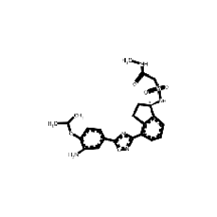 CNC(=O)CS(=O)(=O)N[C@@H]1CCc2c(-c3noc(-c4ccc(OC(C)C)c(N)c4)n3)cccc21